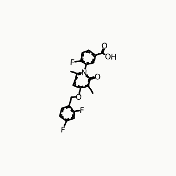 Cc1c(OCc2ccc(F)cc2F)cc(C)n(-c2cc(C(=O)O)ccc2F)c1=O